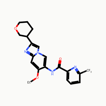 CCOc1cc2nc(C3CCCOC3)cn2cc1NC(=O)c1cccc(C(F)(F)F)n1